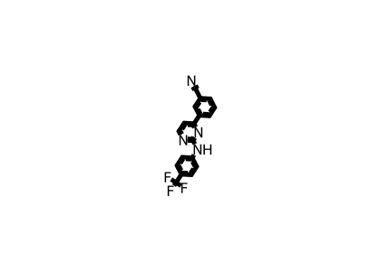 N#Cc1cccc(-c2ccnc(Nc3ccc(C(F)(F)F)cc3)n2)c1